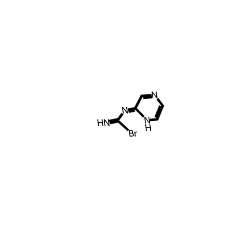 N=C(Br)/N=c1/cncc[nH]1